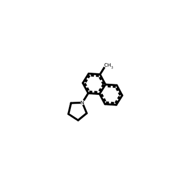 Cc1ccc(N2CCCC2)c2ccccc12